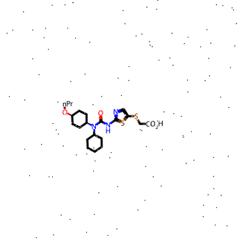 CCCO[C@H]1CC[C@@H](N(C(=O)Nc2ncc(SCC(=O)O)s2)C2CCCCC2)CC1